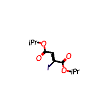 CC(C)OC(=O)/C=C(\I)C(=O)OC(C)C